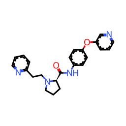 O=C(Nc1ccc(Oc2cccnc2)cc1)[C@H]1CCCN1CCc1ccccn1